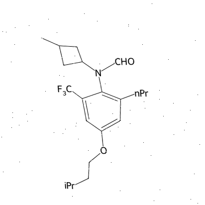 CCCc1cc(OCCC(C)C)cc(C(F)(F)F)c1N(C=O)C1CC(C)C1